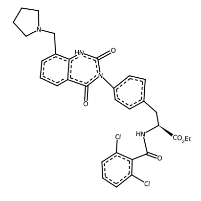 CCOC(=O)[C@H](Cc1ccc(-n2c(=O)[nH]c3c(CN4CCCC4)cccc3c2=O)cc1)NC(=O)c1c(Cl)cccc1Cl